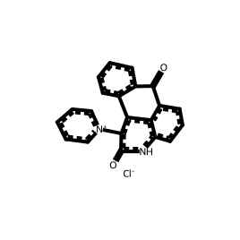 O=C1c2ccccc2-c2c(-[n+]3ccccc3)c(=O)[nH]c3cccc1c23.[Cl-]